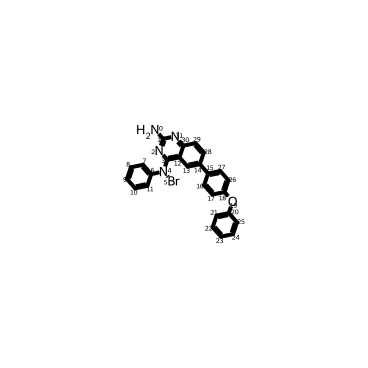 Nc1nc(N(Br)c2ccccc2)c2cc(-c3ccc(Oc4ccccc4)cc3)ccc2n1